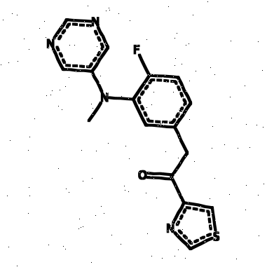 CN(c1cncnc1)c1cc(CC(=O)c2cscn2)ccc1F